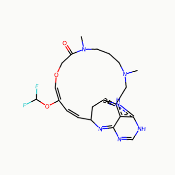 CN1CCCN(C)C(=O)CO/C=C(OC(F)F)\C=C/C2Cc3[nH]c4c(c3C1)C(=N2)N=CN4